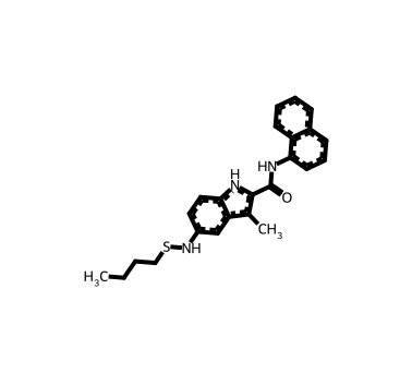 CCCCSNc1ccc2[nH]c(C(=O)Nc3cccc4ccccc34)c(C)c2c1